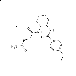 CSc1ccc(C(=O)NC2CCCCC2NC(=O)COC(N)=O)cc1